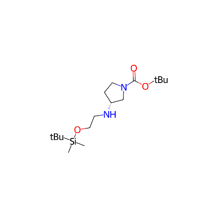 CC(C)(C)OC(=O)N1CC[C@@H](NCCO[Si](C)(C)C(C)(C)C)C1